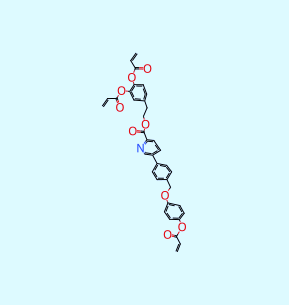 C=CC(=O)Oc1ccc(OCc2ccc(-c3ccc(C(=O)OCCc4ccc(OC(=O)C=C)c(OC(=O)C=C)c4)nc3)cc2)cc1